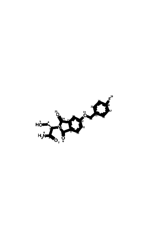 NC(=O)[C@H](CO)N1C(=O)c2ccc(OCc3ccc(F)cc3)cc2C1=O